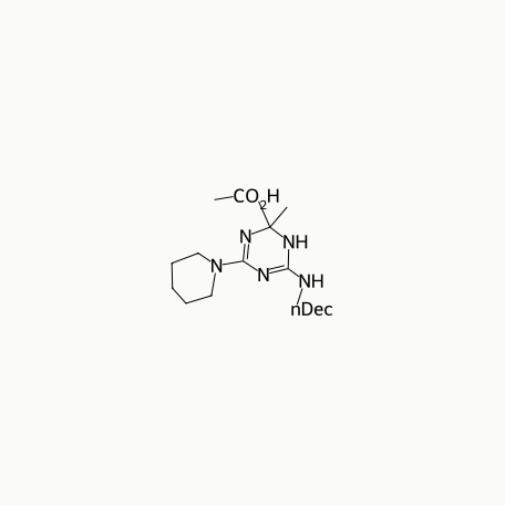 CC(=O)O.CCCCCCCCCCNC1=NC(N2CCCCC2)=NC(C)(C)N1